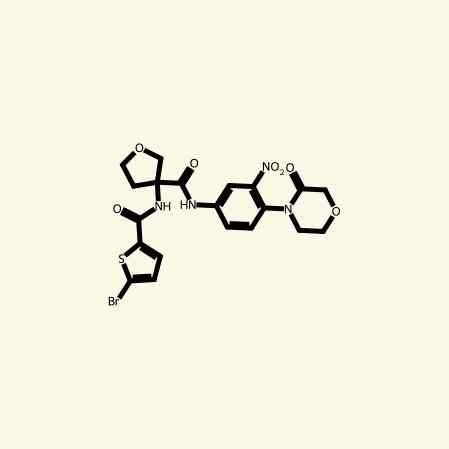 O=C(NC1(C(=O)Nc2ccc(N3CCOCC3=O)c([N+](=O)[O-])c2)CCOC1)c1ccc(Br)s1